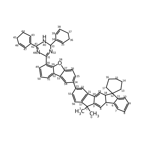 CC1(C)C2=CC3c4ccccc4C4(CCCCC4)C3C=C2c2cc(-c3ccc4oc5c(C6=NC(C7=CCCC=C7)NC(C7=CCCC=C7)=N6)cccc5c4c3)ccc21